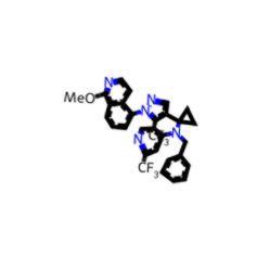 COc1nccc2c(-n3ncc(C4(N(Cc5ccccc5)c5ccnc(C(F)(F)F)c5)CC4)c3C(F)(F)F)cccc12